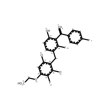 C=C(c1ccc(F)cc1)c1c(O)ccc(Cc2c(Cl)cc(OCC(=O)O)c(F)c2Cl)c1F